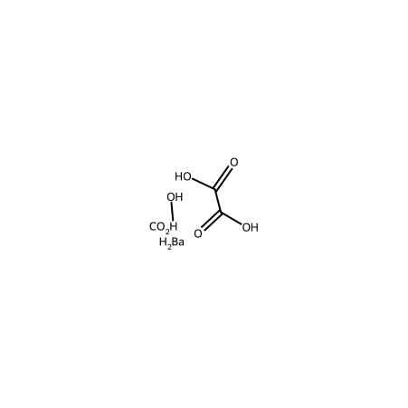 O=C(O)C(=O)O.O=C(O)O.[BaH2]